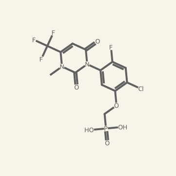 Cn1c(C(F)(F)F)cc(=O)n(-c2cc(OCP(=O)(O)O)c(Cl)cc2F)c1=O